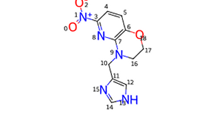 O=[N+]([O-])c1ccc2c(n1)N(Cc1c[nH]cn1)CCO2